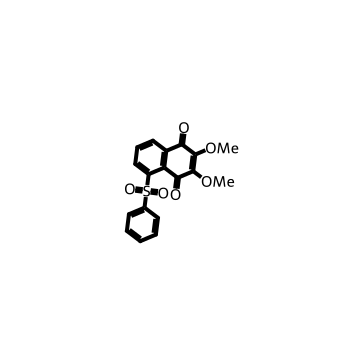 COC1=C(OC)C(=O)c2c(cccc2S(=O)(=O)c2ccccc2)C1=O